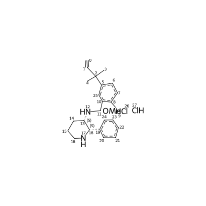 C#CC(C)(C)c1ccc(OC)c(CN[C@H]2CCCN[C@H]2c2ccccc2)c1.Cl.Cl